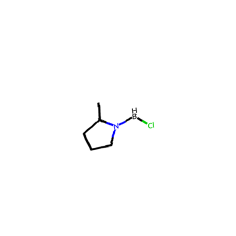 CC1CCCN1BCl